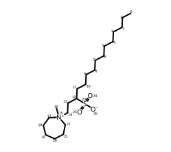 CCCCCCCCCCCCC(CC[N+]1(C)CCCCCC1)S(=O)(=O)[O-]